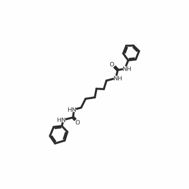 O=C(NCCCCCCNC(=O)Nc1ccccc1)Nc1ccccc1